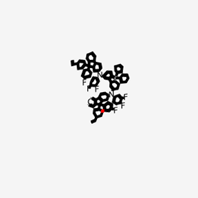 C=CC1C=CC(C2(C3C=CC(F)=CC3)C3C=C(N(C4=CC(F)C(F)C=C4)c4ccc5c(c4)C4C=C(N(C6=CCC(F)C(F)=C6)C6C=CC7=C(C6)C(C6=CCC(C=C)CC6)(c6ccc(F)cc6)c6ccccc67)CCC4[Si]5(C4=CCCC=C4)C4=CC=CCC4)C=CC3C3C=CCCC32)=CC1